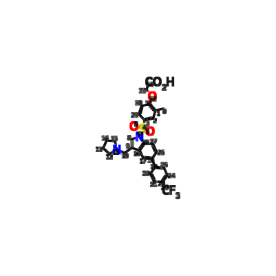 Cc1cc(S(=O)(=O)n2cc(CN3CCCC3)c3cc(-c4ccc(C(F)(F)F)cc4)ccc32)ccc1OCC(=O)O